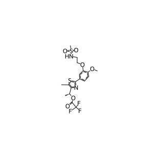 COc1ccc(-c2nc([C@H](C)OC(=O)C(F)(F)F)c(C)s2)cc1OCCNS(C)(=O)=O